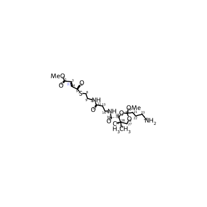 COC(=O)/C=C/C(=O)SCCNC(=O)CCNC(=O)[C@@H]1OC(CCCN)(OC)OCC1(C)C